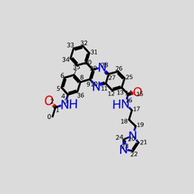 CC(=O)Nc1cccc(-c2nc3cc(C(=O)NCCCn4ccnc4)ccc3nc2-c2ccccc2)c1